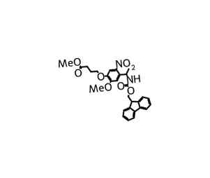 COC(=O)CCCOc1cc([N+](=O)[O-])c(C(C)NC(=O)OCC2c3ccccc3-c3ccccc32)cc1OC